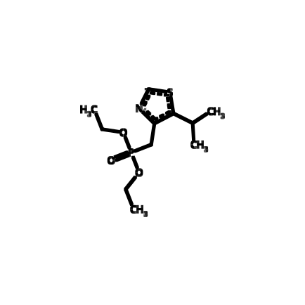 CCOP(=O)(Cc1n[c]sc1C(C)C)OCC